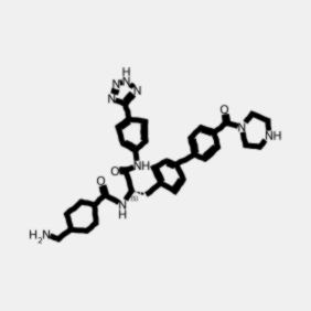 NCC1CCC(C(=O)N[C@@H](Cc2ccc(-c3ccc(C(=O)N4CCNCC4)cc3)cc2)C(=O)Nc2ccc(-c3nn[nH]n3)cc2)CC1